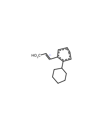 O=C(O)/C=C/c1ccccc1C1CCCCC1